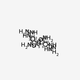 N=C(N)Nc1ccc(-c2ccc(-c3ccc(NC(=N)N)cc3C(N)=O)o2)c(C(N)=O)c1